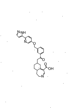 O=C(O)C1=C2CC(CC(=O)c3cccc(COc4ccc(-c5ccn[nH]5)nc4)c3)CCC2CCN=C1